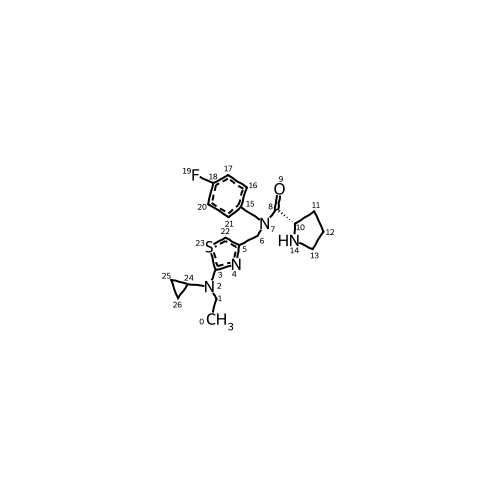 CCN(c1nc(CN(C(=O)[C@@H]2CCCN2)c2ccc(F)cc2)cs1)C1CC1